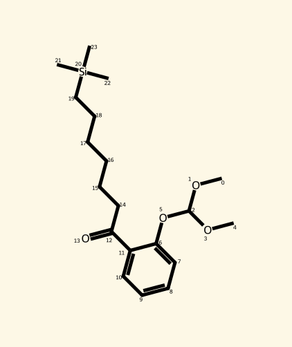 COC(OC)Oc1ccccc1C(=O)CCCCCC[Si](C)(C)C